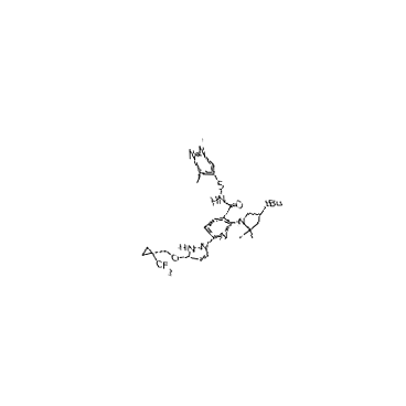 Cc1nn(C)cc1SNC(=O)c1ccc(N2C=CC(OCC3(C(F)(F)F)CC3)N2)nc1N1CC(C(C)(C)C)CC1(C)C